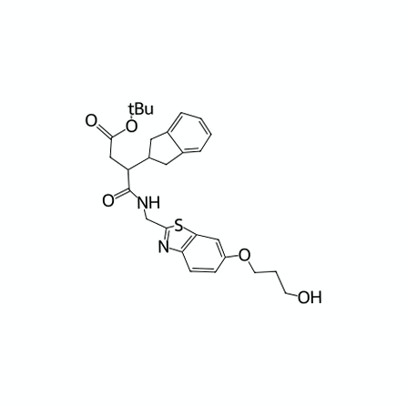 CC(C)(C)OC(=O)CC(C(=O)NCc1nc2ccc(OCCCO)cc2s1)C1Cc2ccccc2C1